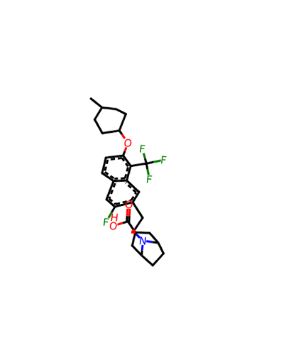 CC1CCC(Oc2ccc3cc(F)c(CCN4C5CCC4CC(C(=O)O)C5)cc3c2C(F)(F)F)CC1